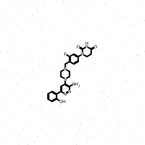 Nc1nnc(-c2ccccc2O)cc1N1CCN(Cc2ccc(N3CCC(=O)NC3=O)cc2F)CC1